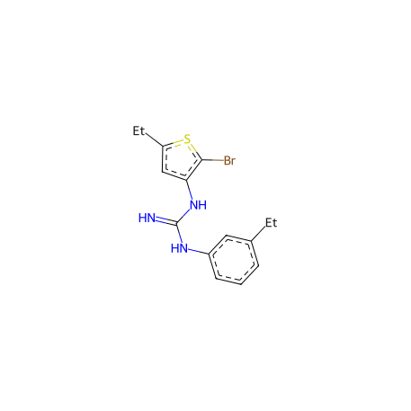 CCc1cccc(NC(=N)Nc2cc(CC)sc2Br)c1